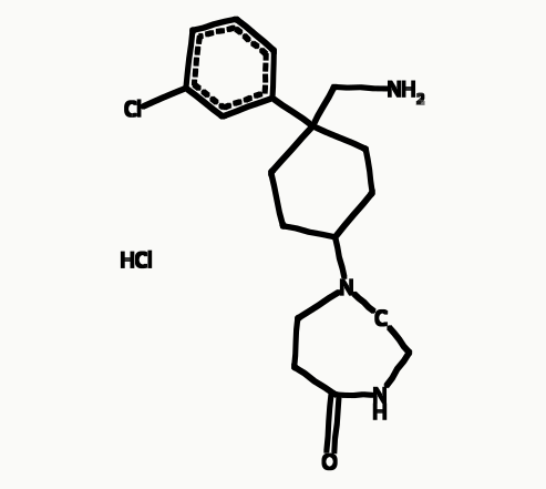 Cl.NCC1(c2cccc(Cl)c2)CCC(N2CCNC(=O)CC2)CC1